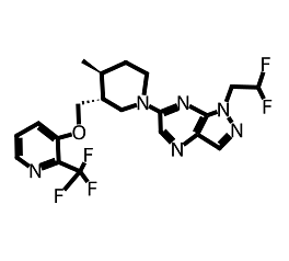 C[C@H]1CCN(c2cnc3cnn(CC(F)F)c3n2)C[C@@H]1COc1cccnc1C(F)(F)F